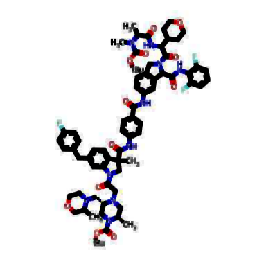 CC1COCCN1C[C@H]1CN(C(=O)OC(C)(C)C)[C@H](C)CN1CC(=O)N1CC(C)(C(=O)Nc2ccc(C(=O)Nc3ccc4c(c3)C(C(=O)Nc3c(F)cccc3F)N(C(=O)C(NC(=O)C(C)N(C)C(=O)OC(C)(C)C)C3CCOCC3)C4)cc2)c2ccc(Cc3ccc(F)cc3)cc21